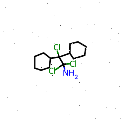 NC(Cl)(Cl)C(Cl)(C1CCCCC1)C1CCCCC1